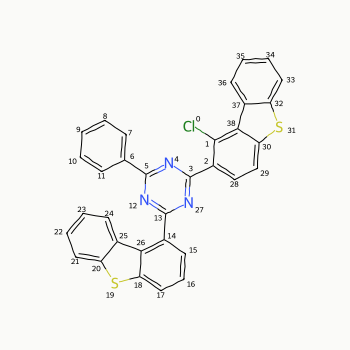 Clc1c(-c2nc(-c3ccccc3)nc(-c3cccc4sc5ccccc5c34)n2)ccc2sc3ccccc3c12